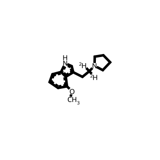 [2H]C([2H])(Cc1c[nH]c2cccc(OC)c12)N1CCCC1